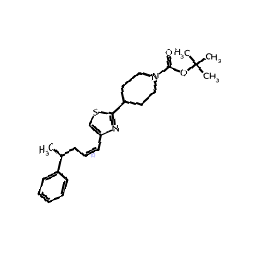 CC(C/C=C\c1csc(C2CCN(C(=O)OC(C)(C)C)CC2)n1)c1ccccc1